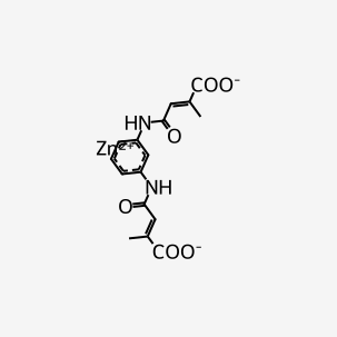 CC(=CC(=O)Nc1cccc(NC(=O)C=C(C)C(=O)[O-])c1)C(=O)[O-].[Zn+2]